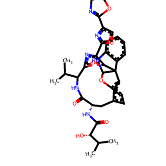 CC(C)C1NC(=O)[C@@H](NC(=O)[C@@H](O)C(C)C)Cc2ccc3c(c2)C2(c4ccccc4NC2O3)c2oc1nc2-c1nc(C2=NCCO2)co1